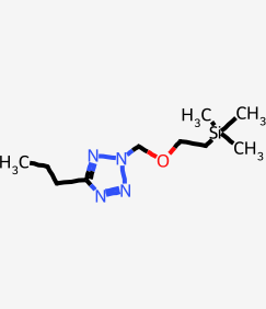 CCCc1nnn(COCC[Si](C)(C)C)n1